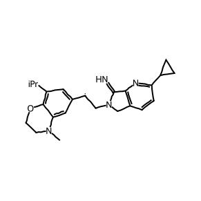 CC(C)c1cc([CH]CN2Cc3ccc(C4CC4)nc3C2=N)cc2c1OCCN2C